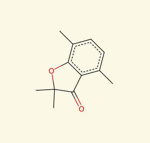 Cc1ccc(C)c2c1OC(C)(C)C2=O